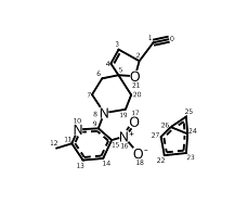 C#CC1C=CC2(CCN(c3nc(C)ccc3[N+](=O)[O-])CC2)O1.c1cc2cc-2c1